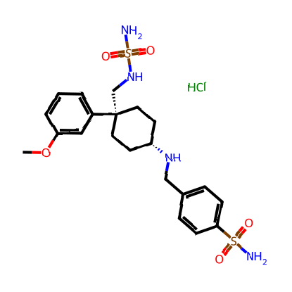 COc1cccc([C@]2(CNS(N)(=O)=O)CC[C@@H](NCc3ccc(S(N)(=O)=O)cc3)CC2)c1.Cl